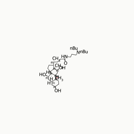 CCCCN(CCCC)CCCNC(=O)CC[C@@H](C)C1CC[C@H]2[C@@H]3[C@H](O)C[C@@H]4C[C@H](O)CC[C@]4(C)[C@H]3C[C@H](O)[C@]12C